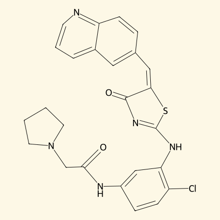 O=C(CN1CCCC1)Nc1ccc(Cl)c(NC2=NC(=O)C(=Cc3ccc4ncccc4c3)S2)c1